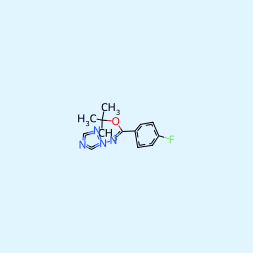 CC(C)(C)O/C(=N\n1cncn1)c1ccc(F)cc1